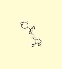 O=C(OCCC1CCOC1=O)C1CCOCC1